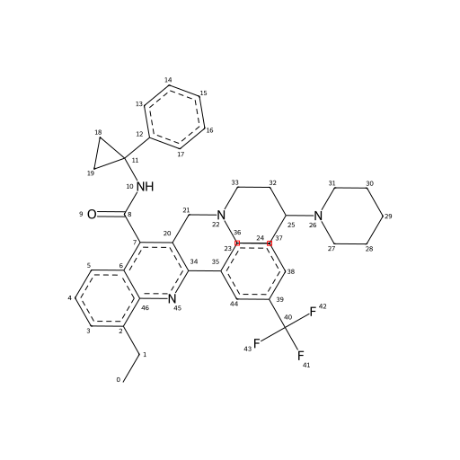 CCc1cccc2c(C(=O)NC3(c4ccccc4)CC3)c(CN3CCC(N4CCCCC4)CC3)c(-c3cccc(C(F)(F)F)c3)nc12